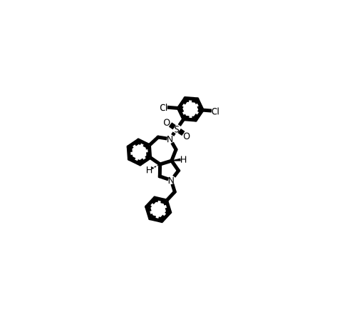 O=S(=O)(c1cc(Cl)ccc1Cl)N1Cc2ccccc2[C@@H]2CN(Cc3ccccc3)C[C@H]2C1